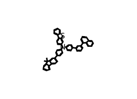 CC1(C)c2ccccc2-c2ccc(-c3ccc(N(c4ccc(-c5cccc(-c6cccc7ccccc67)c5)cc4)c4ccc5c(c4)sc4ccccc45)cc3)cc21